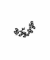 N#C/C=C(/C=C(C#N)\C=C\n1c2ccccc2c2c3c4ccccc4n(-c4cccc(-c5ccc6c(c5)c5ccccc5n6-c5cc(-n6c7ccccc7c7cc8ccccc8cc76)c(C#N)cc5C#N)c4)c3ccc21)N(c1ccccc1)c1ccccc1